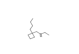 CCCCC1(CNCC)CCC1